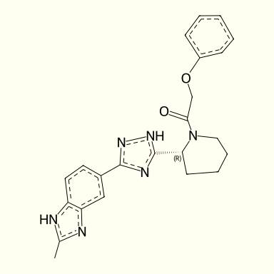 Cc1nc2cc(-c3n[nH]c([C@H]4CCCCN4C(=O)COc4ccccc4)n3)ccc2[nH]1